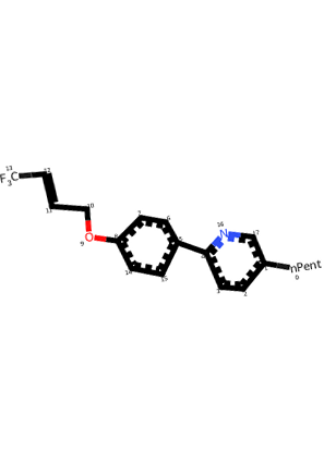 CCCCCc1ccc(-c2ccc(OCC=CC(F)(F)F)cc2)nc1